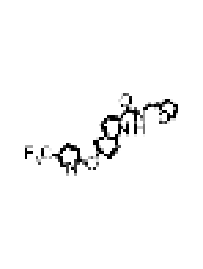 O=C(NC[C@H]1CCCO1)c1ccc2cc(Oc3ccc(C(F)(F)F)cn3)ccc2n1